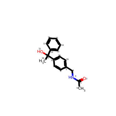 CC(=O)NCc1ccc(C(C)(O)c2ccccc2)cc1